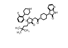 CC(C)(C)CCN1C(=O)[C@H](CC(=O)N2CCC(n3c(=O)[nH]c4ncccc43)CC2)S[C@H]1c1cccc(F)c1C1CCNCC1